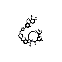 Cc1cc2cc(n1)-c1cnn(C)c1OCCCCCN1/C(=N/C2=O)Nc2ccc(CN3CCN(CC4CN(c5cc(F)c([C@H]6CCC(=O)NC6=O)c(F)c5)C4)CC3)c(C)c21